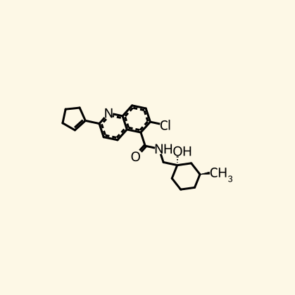 C[C@H]1CCC[C@@](O)(CNC(=O)c2c(Cl)ccc3nc(C4=CCCC4)ccc23)C1